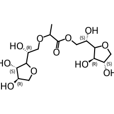 CC(OC[C@@H](O)C1OC[C@@H](O)[C@@H]1O)C(=O)OC[C@H](O)C1OC[C@H](O)[C@H]1O